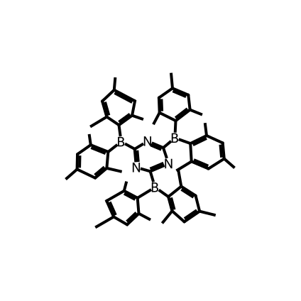 Cc1cc(C)c(B(c2nc(B(c3c(C)cc(C)cc3C)c3c(C)cc(C)cc3C)nc(B(c3c(C)cc(C)cc3C)c3c(C)cc(C)cc3C)n2)c2c(C)cc(C)cc2C)c(C)c1